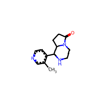 Cc1cnccc1C1NCCN2C(=O)CCC12